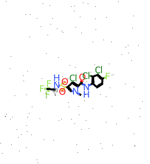 C[C@@H](NS(=O)(=O)c1cn(C)c(C(=O)Nc2ccc(F)c(Cl)c2Cl)c1Cl)C(F)(F)F